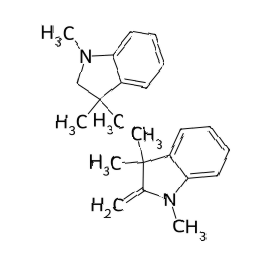 C=C1N(C)c2ccccc2C1(C)C.CN1CC(C)(C)c2ccccc21